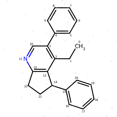 CCc1c(-c2ccccc2)[c]nc2c1C(c1ccccc1)CC2